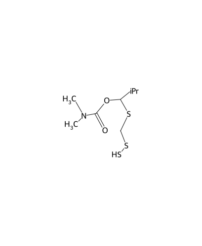 CC(C)C(OC(=O)N(C)C)SCSS